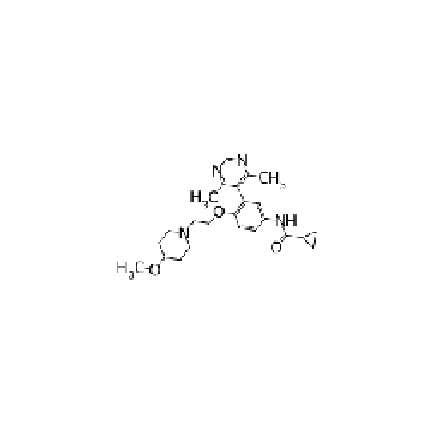 COC1CCN(CCOc2ccc(NC(=O)C3CC3)cc2-c2c(C)ncnc2C)CC1